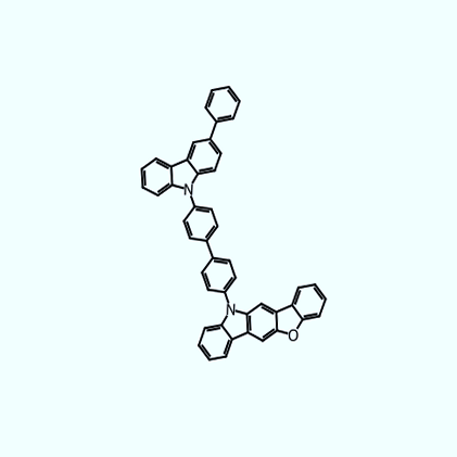 c1ccc(-c2ccc3c(c2)c2ccccc2n3-c2ccc(-c3ccc(-n4c5ccccc5c5cc6oc7ccccc7c6cc54)cc3)cc2)cc1